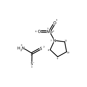 NC(=S)[S-].[O]=[Mo+](=[O])[N]1CCCC1